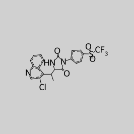 CC(c1c(Cl)cnc2ccccc12)C1NC(=O)N(c2ccc(S(=O)(=O)C(F)(F)F)cc2)C1=O